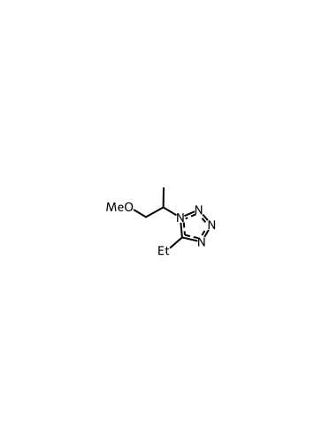 CCc1nnnn1C(C)COC